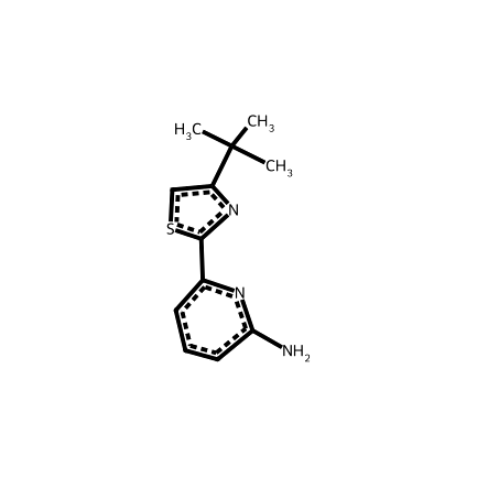 CC(C)(C)c1csc(-c2cccc(N)n2)n1